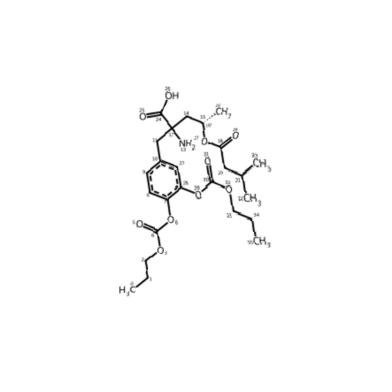 CCCOC(=O)Oc1ccc(CC(N)(C[C@H](C)OC(=O)CC(C)C)C(=O)O)cc1OC(=O)OCCC